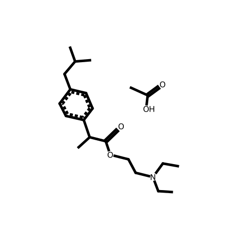 CC(=O)O.CCN(CC)CCOC(=O)C(C)c1ccc(CC(C)C)cc1